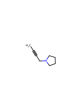 [CH2]C#CCN1CCCC1